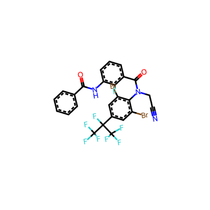 N#CCN(C(=O)c1cccc(NC(=O)c2ccccc2)c1F)c1c(Br)cc(C(F)(C(F)(F)F)C(F)(F)F)cc1Br